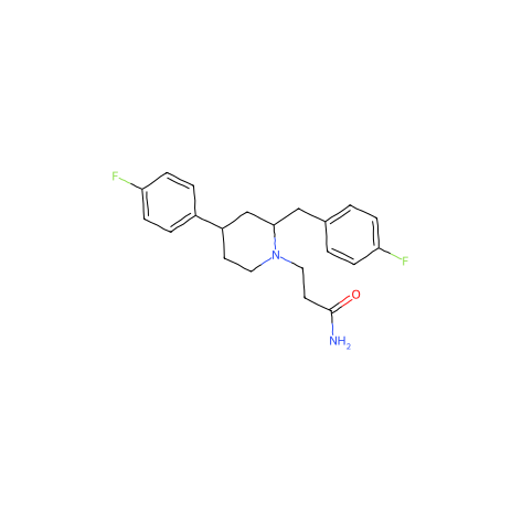 NC(=O)CCN1CCC(c2ccc(F)cc2)CC1Cc1ccc(F)cc1